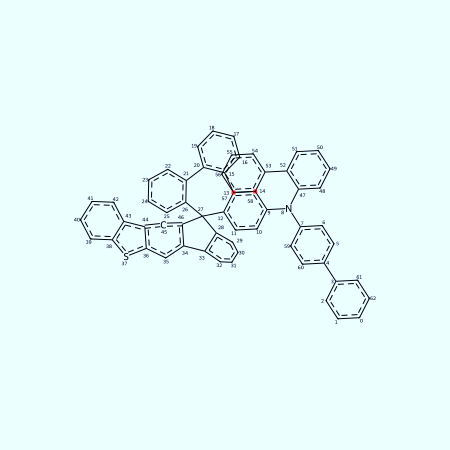 c1ccc(-c2ccc(N(c3ccc4c(c3)-c3ccccc3-c3ccccc3C43c4ccccc4-c4cc5sc6ccccc6c5cc43)c3ccccc3-c3ccccc3)cc2)cc1